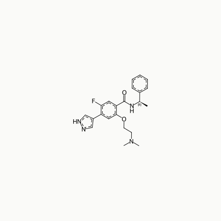 C[C@@H](NC(=O)c1cc(F)c(-c2cn[nH]c2)cc1OCCN(C)C)c1ccccc1